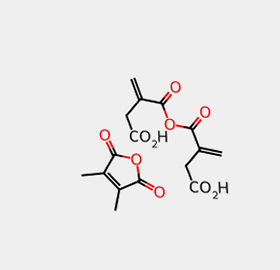 C=C(CC(=O)O)C(=O)OC(=O)C(=C)CC(=O)O.CC1=C(C)C(=O)OC1=O